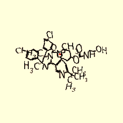 CCOc1cc(C(C)(C)C)ncc1C1=N[C@@](C)(c2ccc(Cl)cc2)[C@@](C)(c2ccc(Cl)cc2)N1C(=O)N1CCC(OC(=O)NCCO)CC1